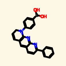 OB(O)c1ccc(N2CC=Cc3cc4ccc(-c5ccccc5)nc4nc32)cc1